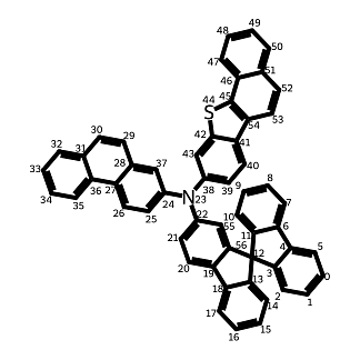 c1ccc2c(c1)-c1ccccc1C21c2ccccc2-c2ccc(N(c3ccc4c(ccc5ccccc54)c3)c3ccc4c(c3)sc3c5ccccc5ccc43)cc21